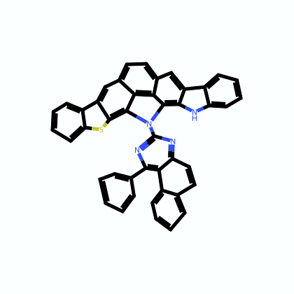 c1ccc(-c2nc(-n3c4c5[nH]c6ccccc6c5cc5ccc6cc7c8ccccc8sc7c3c6c54)nc3ccc4ccccc4c23)cc1